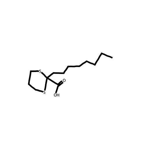 CCCCCCCCC1(C(=O)O)SCCCS1